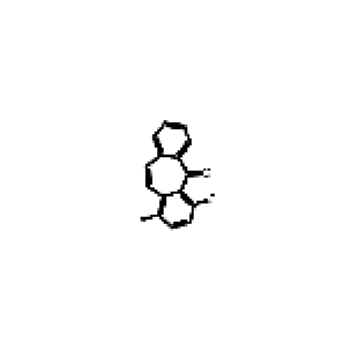 O=c1c2ccccc2ccc2c(Cl)ccc(Cl)c12